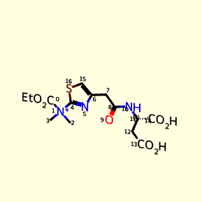 CCOC(=O)[N+](C)(C)c1nc(CC(=O)N[C@@H](CC(=O)O)C(=O)O)cs1